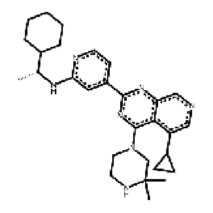 C[C@@H](Nc1cc(-c2nc(N3CCNC(C)(C)C3)c3c(C4CC4)cncc3n2)ccn1)C1CCCCC1